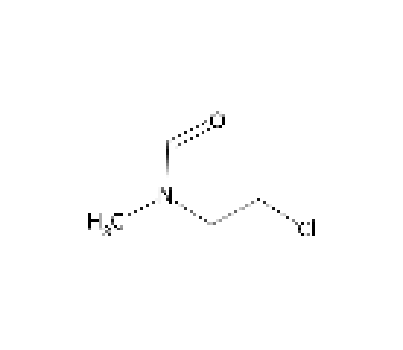 CN(C=O)CCCl